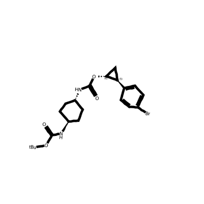 CC(C)(C)OC(=O)N[C@H]1CC[C@H](NC(=O)O[C@@H]2C[C@H]2c2ccc(Br)cc2)CC1